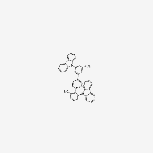 N#Cc1cc(-c2ccc(-c3c(C#N)cccc3-n3c4ccccc4c4ccccc43)cc2)cc(-n2c3ccccc3c3ccccc32)c1